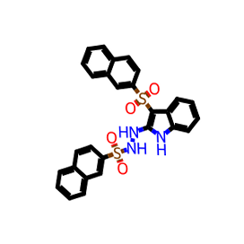 O=S(=O)(NNc1[nH]c2ccccc2c1S(=O)(=O)c1ccc2ccccc2c1)c1ccc2ccccc2c1